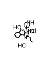 CCCc1nc2c(s1)c(N1CCNCC1)c(O)c1ccccc12.Cl.Cl.Cl